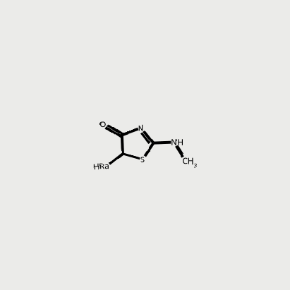 CNC1=NC(=O)[CH]([RaH])S1